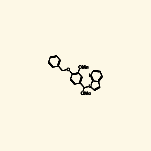 COc1cc(C(OC)n2ccc3cccnc32)ccc1OCc1ccccc1